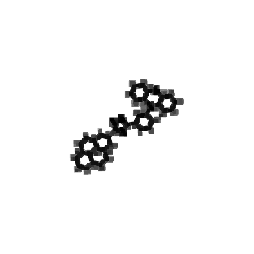 c1cc(-c2nc(-c3cc4ccc5cccc6ccc(c3)c4c56)ns2)cc(N2c3ccccc3Sc3ccccc32)c1